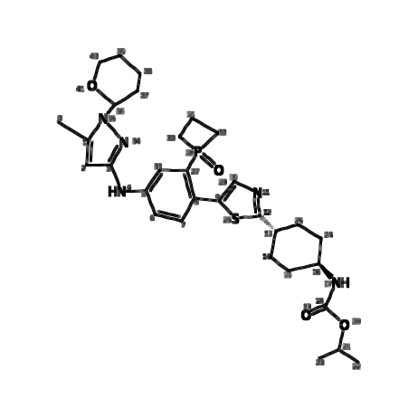 Cc1cc(Nc2ccc(-c3cnc([C@H]4CC[C@H](NC(=O)OC(C)C)CC4)s3)c(P3(=O)CCC3)c2)nn1C1CCCCO1